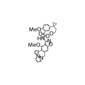 COc1ccc2c(c1S(=O)(=O)Nc1noc3cc(Cn4cccn4)c(Cl)c(OC)c13)OCCC21CC1